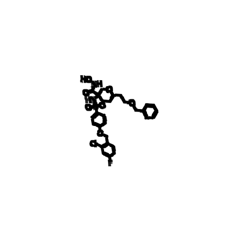 O=C(NO)C1(NS(=O)(=O)c2ccc(OCc3ccc(F)cc3Cl)cc2)CCC(CCOCc2ccccc2)OC1